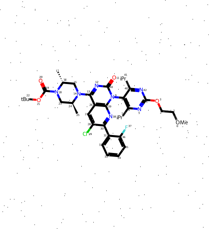 COCCOc1nc(C(C)C)c(-n2c(=O)nc(N3C[C@@H](C)N(C(=O)OC(C)(C)C)C[C@@H]3C)c3cc(Cl)c(-c4ccccc4F)nc32)c(C(C)C)n1